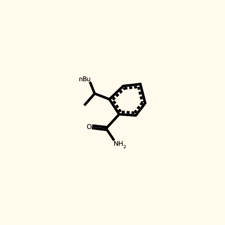 CCCC[C](C)c1ccccc1C(N)=O